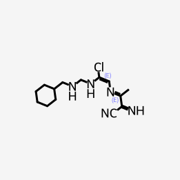 C/C(=N\C=C(\Cl)NCNCC1CCCCC1)C(=N)C#N